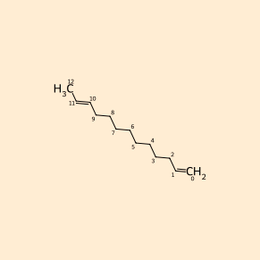 C=CCCCCCCCCC=CC